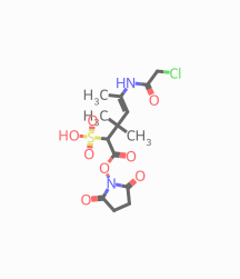 C/C(=C\C(C)(C)C(C(=O)ON1C(=O)CCC1=O)S(=O)(=O)O)NC(=O)CCl